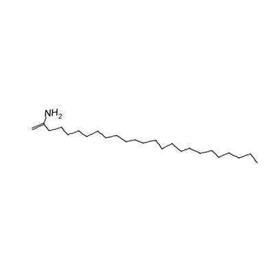 C=C(N)CCCCCCCCCCCCCCCCCCCCCCC